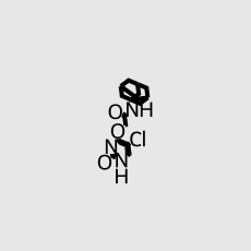 O=C(COc1nc(=O)[nH]cc1Cl)NC12CC3CC(CC(C3)C1)C2